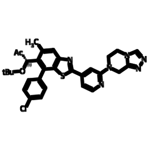 CC(=O)[C@@H](OC(C)(C)C)c1c(C)cc2nc(-c3ccnc(N4CCn5cnnc5C4)c3)sc2c1-c1ccc(Cl)cc1